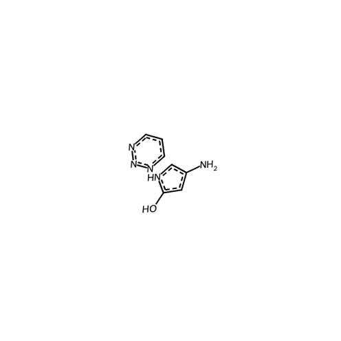 Nc1c[nH]c(O)c1.c1cnnnc1